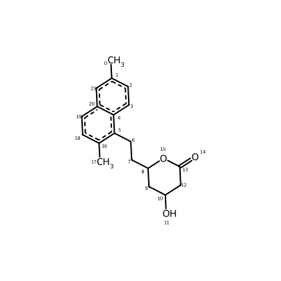 Cc1ccc2c(CCC3CC(O)CC(=O)O3)c(C)ccc2c1